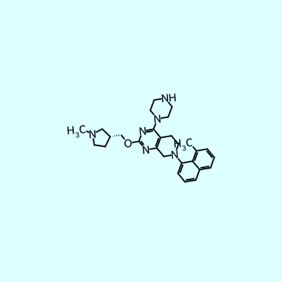 Cc1cccc2cccc(N3CCc4c(nc(OC[C@@H]5CCN(C)C5)nc4N4CCNCC4)C3)c12